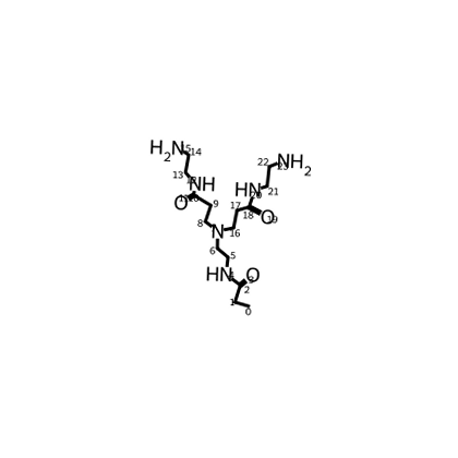 CCC(=O)NCCN(CCC(=O)NCCN)CCC(=O)NCCN